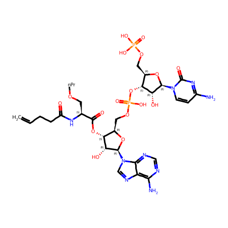 C=CCCC(=O)N[C@@H](COCCC)C(=O)O[C@H]1[C@@H](O)[C@H](n2cnc3c(N)ncnc32)O[C@@H]1COP(=O)(O)O[C@H]1[C@@H](O)[C@H](n2ccc(N)nc2=O)O[C@@H]1COP(=O)(O)O